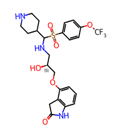 O=C1Cc2c(cccc2OC[C@@H](O)CNC(C2CCNCC2)S(=O)(=O)c2ccc(OC(F)(F)F)cc2)N1